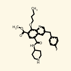 CCCCOc1c(C(=O)OC)cc(C(=O)NC2CCNCC2)c2cc(Cc3ccc(F)cc3)cnc12